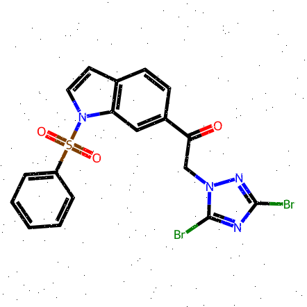 O=C(Cn1nc(Br)nc1Br)c1ccc2ccn(S(=O)(=O)c3ccccc3)c2c1